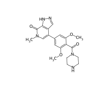 COc1cc(-c2cn(C)c(=O)c3[nH]ncc23)cc(OC)c1C(=O)N1CCNCC1